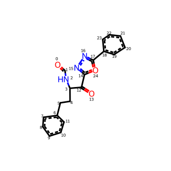 O=CNC(CCc1ccccc1)C(=O)c1nnc(-c2ccccc2)o1